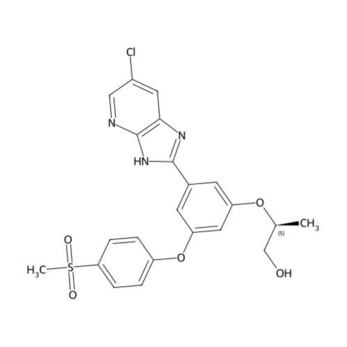 C[C@@H](CO)Oc1cc(Oc2ccc(S(C)(=O)=O)cc2)cc(-c2nc3cc(Cl)cnc3[nH]2)c1